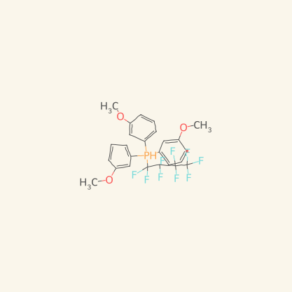 COc1cccc([PH](c2cccc(OC)c2)(c2cccc(OC)c2)C(F)(F)C(F)(F)C(F)(F)C(F)(F)F)c1